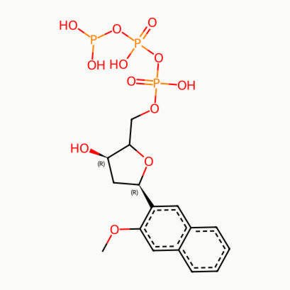 COc1cc2ccccc2cc1[C@H]1C[C@@H](O)C(COP(=O)(O)OP(=O)(O)OP(O)O)O1